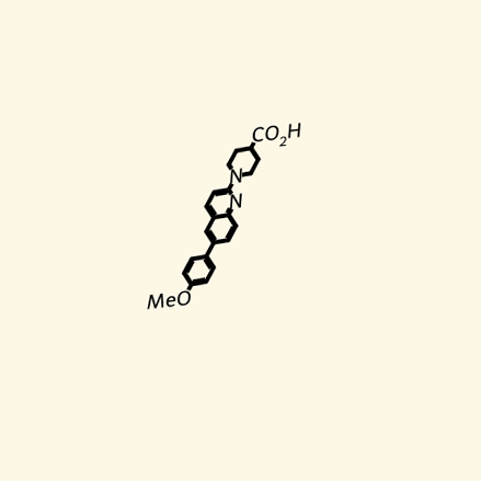 COc1ccc(-c2ccc3nc(N4CCC(C(=O)O)CC4)ccc3c2)cc1